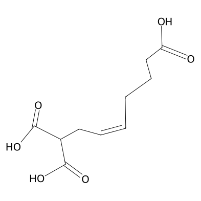 O=C(O)CCC/C=C\CC(C(=O)O)C(=O)O